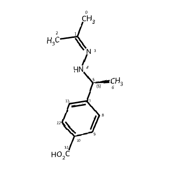 CC(C)=NN[C@@H](C)c1ccc(C(=O)O)cc1